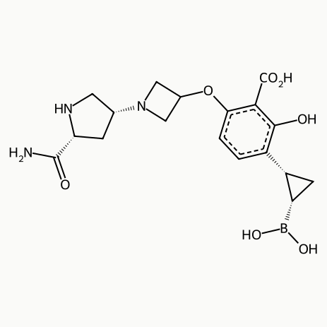 NC(=O)[C@H]1C[C@@H](N2CC(Oc3ccc([C@@H]4C[C@@H]4B(O)O)c(O)c3C(=O)O)C2)CN1